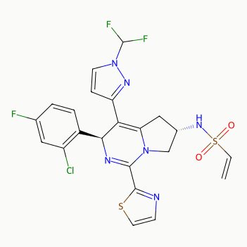 C=CS(=O)(=O)N[C@H]1CC2=C(c3ccn(C(F)F)n3)[C@H](c3ccc(F)cc3Cl)N=C(c3nccs3)N2C1